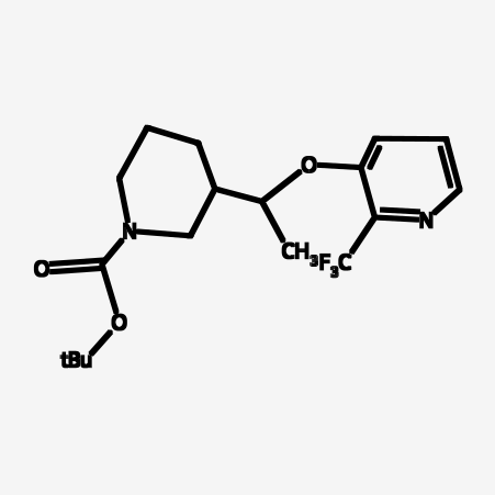 CC(Oc1cccnc1C(F)(F)F)C1CCCN(C(=O)OC(C)(C)C)C1